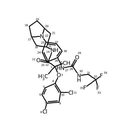 CC(C)(Oc1ccc(Cl)cc1Cl)C(=O)NC1CC2CCC(C1)N2c1ccc(NC(=O)NCC(F)(F)F)cc1